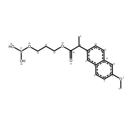 COc1ccc2cc(C(C)C(=O)OCCCON(O)O)ccc2c1